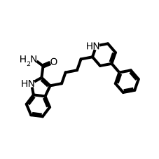 NC(=O)c1[nH]c2ccccc2c1CCCCC1CC(c2ccccc2)=CCN1